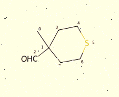 CC1(C=O)CCSCC1